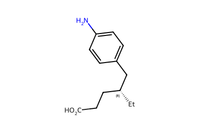 CC[C@H](CCC(=O)O)Cc1ccc(N)cc1